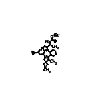 C[C@@H](NC(=O)OC(C)(C)C)c1cn2cc(C3CC3)cc(NCC3(N(C)Cc4ccccc4)CN(C)C3)c2n1